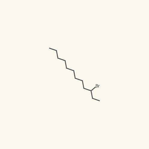 CCCCCCCCCC(Br)CC